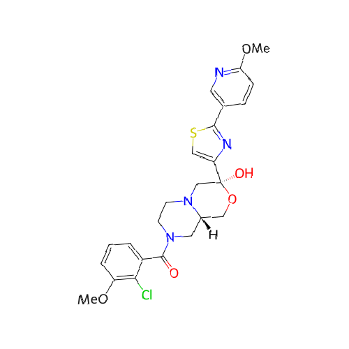 COc1ccc(-c2nc([C@]3(O)CN4CCN(C(=O)c5cccc(OC)c5Cl)C[C@H]4CO3)cs2)cn1